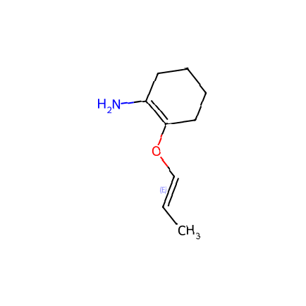 C/C=C/OC1=C(N)CCCC1